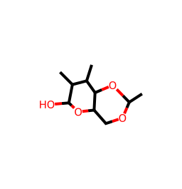 CC1OCC2OC(O)C(C)C(C)C2O1